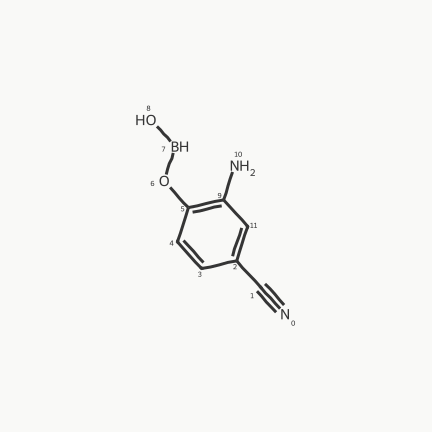 N#Cc1ccc(OBO)c(N)c1